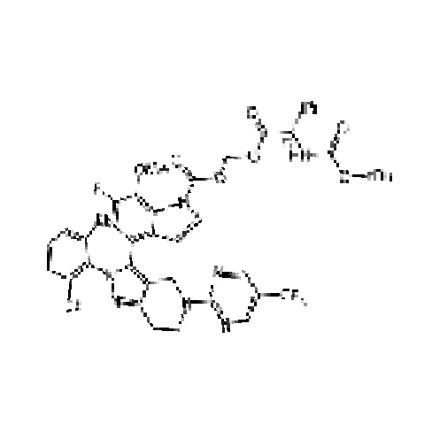 CCc1cccc(CC)c1-n1nc2c(c1-c1cc(F)c(OC)c3c1ccn3C(=O)OCOC(=O)[C@@H](NC(=O)OC(C)(C)C)C(C)C)CN(c1ncc(C(F)(F)F)cn1)CC2